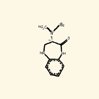 CC(C)(C)N(C(=O)O)[C@H]1CNc2ccccc2NC1=O